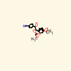 COCC(=O)OC(C(=O)c1ccc(C#N)cc1)c1ccc(OC)cc1